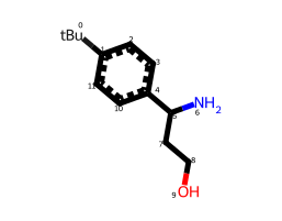 CC(C)(C)c1ccc(C(N)CCO)cc1